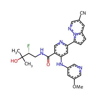 COc1cncc(Nc2cc(-c3ccc4cc(C#N)cnn34)ncc2C(=O)NC[C@@H](F)C(C)(C)O)c1